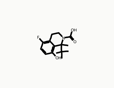 CC(C)(C)C1(C)c2c(O)ccc(F)c2CCN1C(=O)O